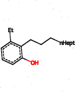 CCCCCCCCCCc1c(O)cccc1CC